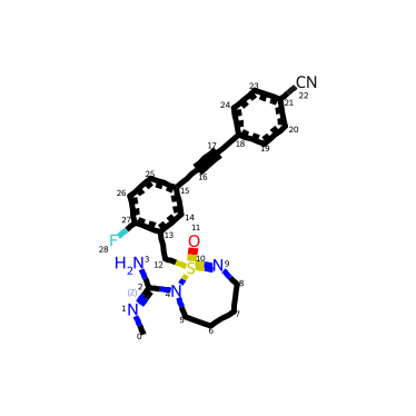 C/N=C(/N)N1CCCCN=S1(=O)Cc1cc(C#Cc2ccc(C#N)cc2)ccc1F